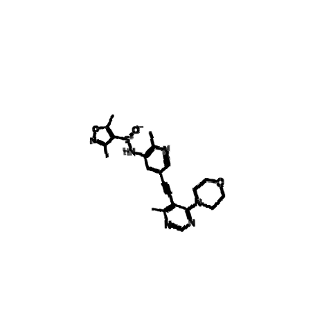 Cc1ncc(C#Cc2c(C)ncnc2N2CCOCC2)cc1N[S+]([O-])c1c(C)noc1C